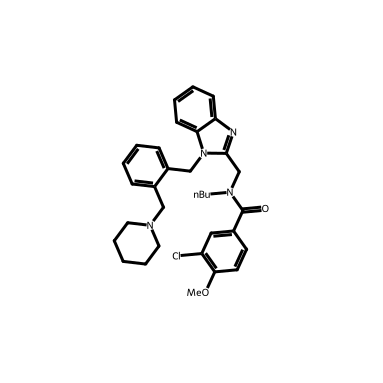 CCCCN(Cc1nc2ccccc2n1Cc1ccccc1CN1CCCCC1)C(=O)c1ccc(OC)c(Cl)c1